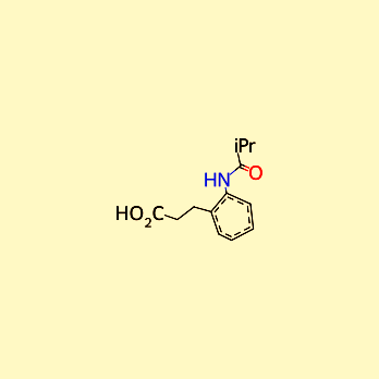 CC(C)C(=O)Nc1ccccc1CCC(=O)O